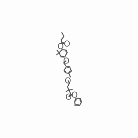 CCCC(=O)OC1C=CC(OCc2ccc(COCCC(C)(C)C(=O)Oc3ccccc3)cc2)=CC1(C)C